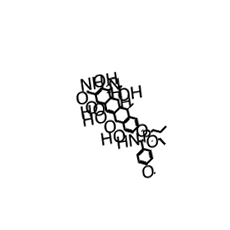 CCCP(=O)(OCC)C(Nc1ccc2c(c1O)C(=O)C1=C(O)[C@]3(O)C(=O)C(C(N)=O)=C(O)[C@@H](N(C)C)[C@@H]3[C@@H](O)[C@@H]1[C@H]2C)c1ccc(OC)cc1